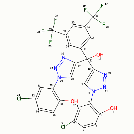 Oc1ccc(Cl)cc1-n1cc(C(O)(c2cc(C(F)(F)F)cc(C(F)(F)F)c2)c2cn(-c3cc(Cl)ccc3O)nn2)nn1